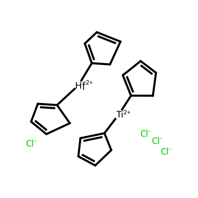 C1=CC[C]([Hf+2][C]2=CC=CC2)=C1.C1=CC[C]([Ti+2][C]2=CC=CC2)=C1.[Cl-].[Cl-].[Cl-].[Cl-]